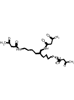 CC(=O)CC(=O)NCCCCC(CCCNC(=O)CC(C)=O)CNC(=O)CC(C)=O